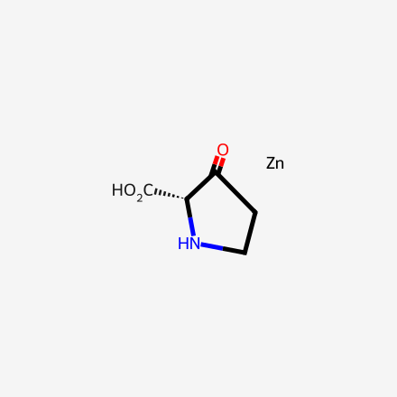 O=C(O)[C@H]1NCCC1=O.[Zn]